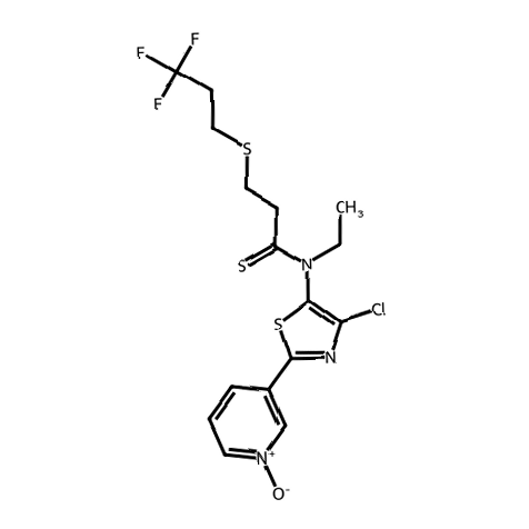 CCN(C(=S)CCSCCC(F)(F)F)c1sc(-c2ccc[n+]([O-])c2)nc1Cl